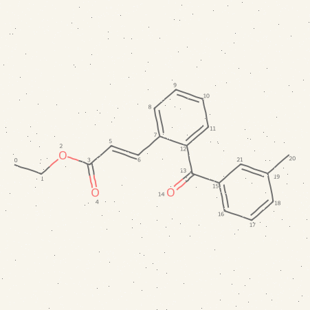 CCOC(=O)C=Cc1ccccc1C(=O)c1cccc(C)c1